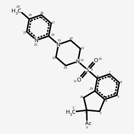 CC(=O)C1(C)Cc2cccc(S(=O)(=O)N3CCN(c4ccc(C)cn4)CC3)c2C1